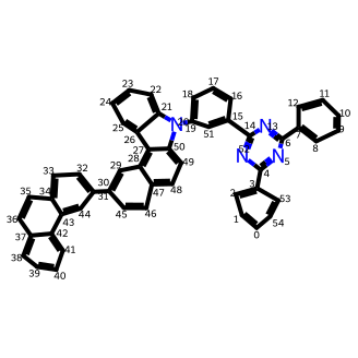 c1ccc(-c2nc(-c3ccccc3)nc(-c3cccc(-n4c5ccccc5c5c6cc(-c7ccc8ccc9ccccc9c8c7)ccc6ccc54)c3)n2)cc1